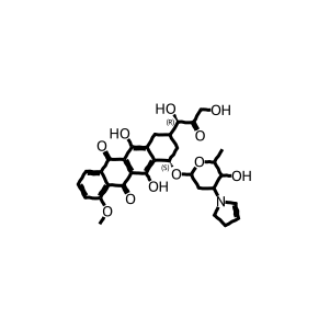 COc1cccc2c1C(=O)c1c(O)c3c(c(O)c1C2=O)CC([C@@H](O)C(=O)CO)C[C@@H]3OC1CC(N2C=CCC2)C(O)C(C)O1